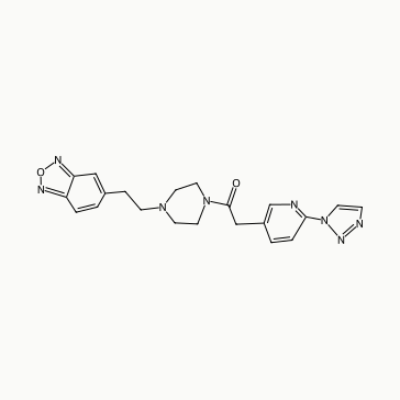 O=C(Cc1ccc(-n2ccnn2)nc1)N1CCN(CCc2ccc3nonc3c2)CC1